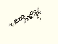 C[S+]([O-])Cc1cc2c(Nc3cc([C@H]4CC[C@@H](OC(=O)NC5(C)CC5)C4)[nH]n3)nccn2n1